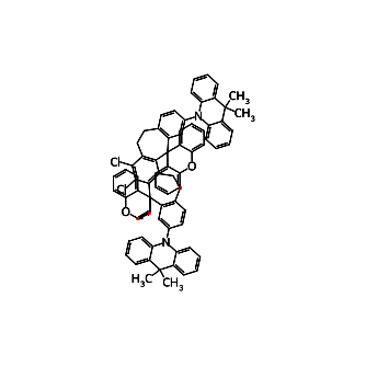 CC1(C)c2ccccc2N(c2ccc3c(c2)C2(c4ccccc4Oc4ccccc42)c2c(Cl)c(Cl)c4c(c2CC3)C2(c3cc(N5c6ccccc6C(C)(C)c6ccccc65)ccc3CC4)c3ccccc3Oc3ccccc32)c2ccccc21